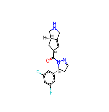 O=C([C@@H]1C=C2CNC[C@@H]2C1)N1N=CC[C@@H]1c1cc(F)cc(F)c1